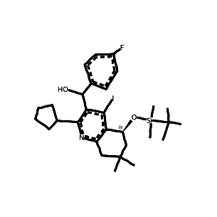 CC1(C)Cc2nc(C3CCCC3)c(C(O)c3ccc(F)cc3)c(I)c2[C@@H](O[Si](C)(C)C(C)(C)C)C1